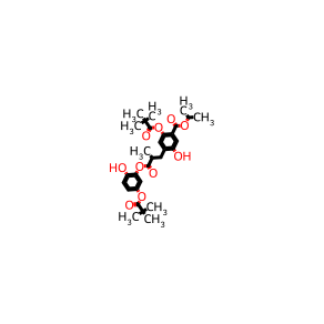 CC(C)OC(=O)c1cc(O)c(CC(C)C(=O)Oc2cc(OC(=O)C(C)(C)C)ccc2O)cc1OC(=O)C(C)(C)C